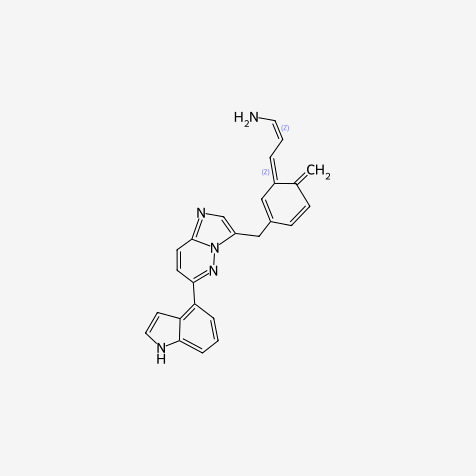 C=c1ccc(Cc2cnc3ccc(-c4cccc5[nH]ccc45)nn23)c/c1=C/C=C\N